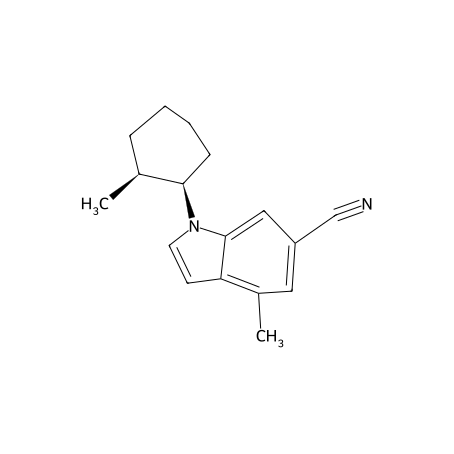 Cc1cc(C#N)cc2c1ccn2[C@@H]1CCCC[C@@H]1C